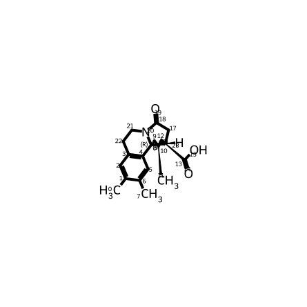 Cc1cc2c(cc1C)[C@@]13C[C@H](C)[C@@H](C(=O)O)[C@@H]1CC(=O)N3CC2